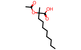 CCCCCCCCC(C)(OC(C)=O)C(=O)O